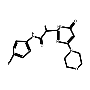 O=C(Nc1ccc(F)cc1)C(F)c1nc(N2CCOCC2)cc(=O)[nH]1